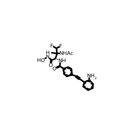 CC(=O)NC(C)(C(F)F)[C@H](NC(=O)c1ccc(C#Cc2ccccc2N)cc1)C(=O)NO